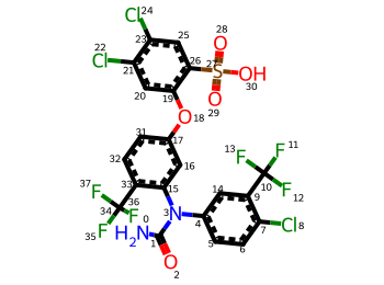 NC(=O)N(c1ccc(Cl)c(C(F)(F)F)c1)c1cc(Oc2cc(Cl)c(Cl)cc2S(=O)(=O)O)ccc1C(F)(F)F